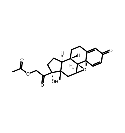 CC(=O)OCC(=O)[C@@]1(O)CC[C@H]2[C@@H]3CCC4=CC(=O)C=C[C@]4(C)[C@@]34O[C@H]4C[C@@]21C